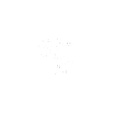 COC(=O)[C@H]1O[C@@H](Oc2ccc(Cl)cc2N(C)C(=O)Cl)[C@H](OC(C)=O)[C@@H](OC(C)=O)[C@@H]1OC(C)=O